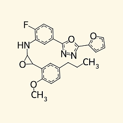 CCCc1ccc(OC)c(C2OC2Nc2cc(-c3nnc(-c4ccco4)o3)ccc2F)c1